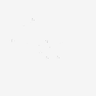 CCc1sc(C(=O)N(CCCN)[C@@H](c2nc3ccccc3n2Cc2ccccc2)C(C)C)cc1Br